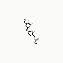 COC(=O)CCc1ccc(Oc2cc(C)cc(CN)c2)cc1C